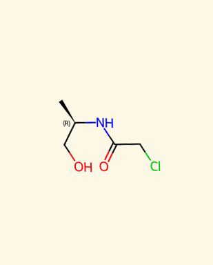 C[C@H](CO)NC(=O)CCl